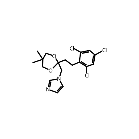 CC1(C)COC(CCc2c(Cl)cc(Cl)cc2Cl)(Cn2ccnc2)OC1